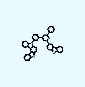 c1ccc(-c2cc(-c3cccc(-n4c5ccccc5c5c6c(ccc54)sc4ccccc46)c3)cc(-c3ccc4oc5ccccc5c4c3)n2)cc1